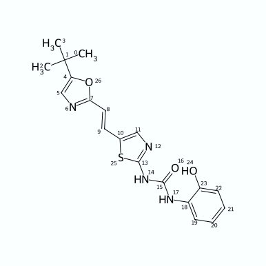 CC(C)(C)c1cnc(C=Cc2cnc(NC(=O)Nc3ccccc3O)s2)o1